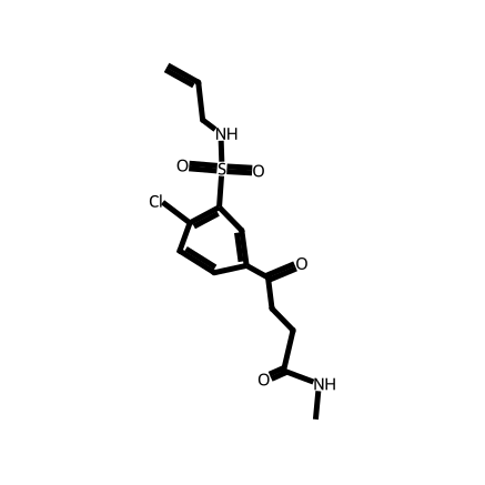 C=CCNS(=O)(=O)c1cc(C(=O)CCC(=O)NC)ccc1Cl